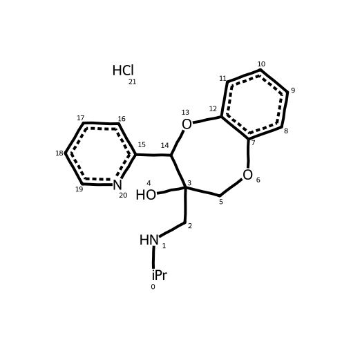 CC(C)NCC1(O)COc2ccccc2OC1c1ccccn1.Cl